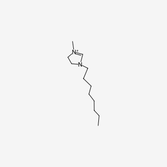 CCCCCCCCN1C=[N+](C)CC1